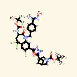 CC(C)(C)OC(=O)NC1CC(F)(F)c2cc(F)c(-c3nnc(C45CC(CN(C(=O)OC(C)(C)C)C4)C5)o3)cc2N(Cc2ccc(/C(N)=N/O)cc2)C1=O